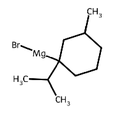 CC1CCC[C]([Mg][Br])(C(C)C)C1